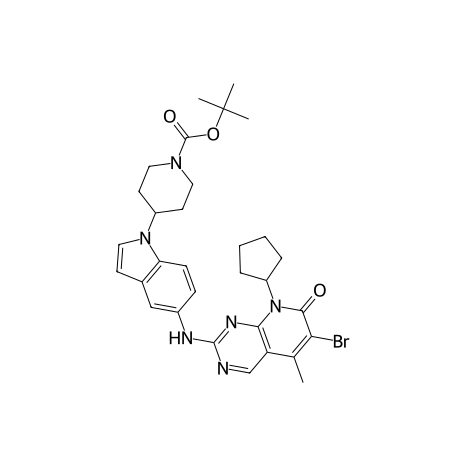 Cc1c(Br)c(=O)n(C2CCCC2)c2nc(Nc3ccc4c(ccn4C4CCN(C(=O)OC(C)(C)C)CC4)c3)ncc12